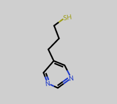 SCCCc1cncnc1